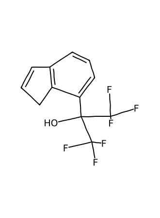 OC(c1cccc2c1CC=C2)(C(F)(F)F)C(F)(F)F